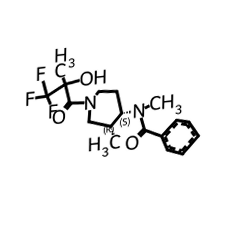 C[C@@H]1CN(C(=O)C(C)(O)C(F)(F)F)CC[C@@H]1N(C)C(=O)c1ccccc1